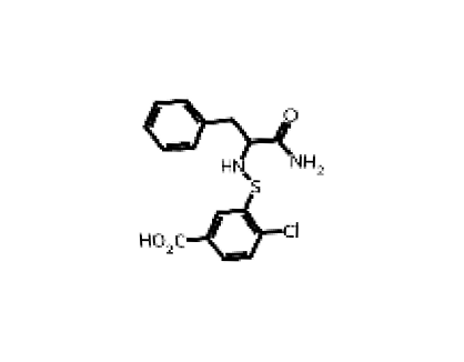 NC(=O)C(Cc1ccccc1)NSc1cc(C(=O)O)ccc1Cl